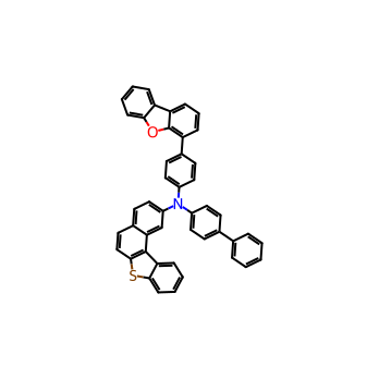 c1ccc(-c2ccc(N(c3ccc(-c4cccc5c4oc4ccccc45)cc3)c3ccc4ccc5sc6ccccc6c5c4c3)cc2)cc1